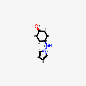 O=C1CCC(Nn2cccc2)CC1